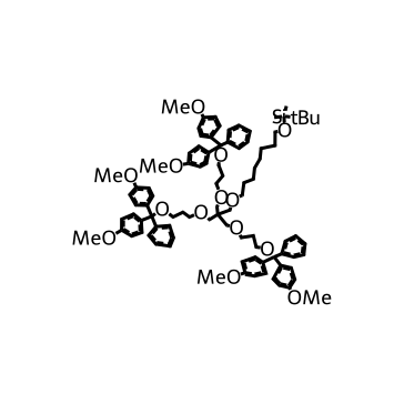 COc1ccc(C(OCCCOCC(COCCCCCCCCO[Si](C)(C)C(C)(C)C)(COCCCOC(c2ccccc2)(c2ccc(OC)cc2)c2ccc(OC)cc2)COCCCOC(c2ccccc2)(c2ccc(OC)cc2)c2ccc(OC)cc2)(c2ccccc2)c2ccc(OC)cc2)cc1